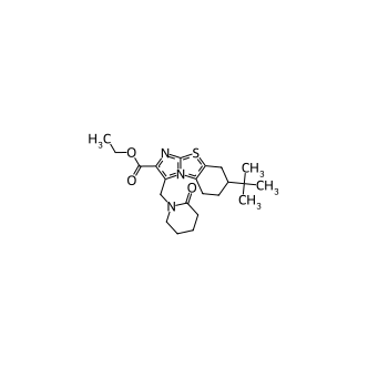 CCOC(=O)c1nc2sc3c(n2c1CN1CCCCC1=O)CCC(C(C)(C)C)C3